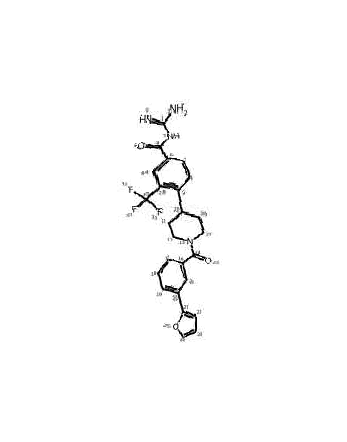 N=C(N)NC(=O)c1ccc(C2CCN(C(=O)c3cccc(-c4ccco4)c3)CC2)c(C(F)(F)F)c1